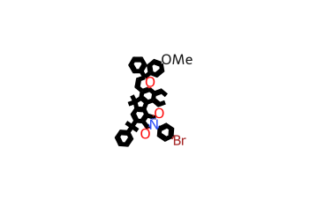 C/C=c1/c2c(c3c(/c1=C/C)OC(c1ccccc1)(c1ccc(OC)cc1)C=C3)C(C)(C)c1cc(C(C)(C)c3ccccc3)c3c(c1-2)C(=O)N(c1ccc(Br)cc1)C3=O